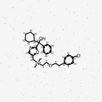 C[N+](C)(CCOCCc1ccc(Cl)cc1)Cc1cnc(C(O)(c2ccccc2)C2CCCCC2)o1